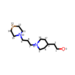 [O]CCC1CCN(CCCN2CCSCC2)CC1